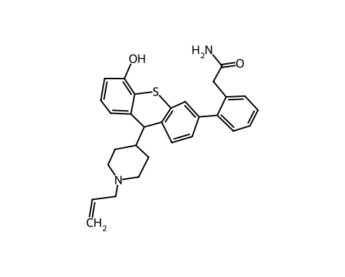 C=CCN1CCC(C2c3ccc(-c4ccccc4CC(N)=O)cc3Sc3c(O)cccc32)CC1